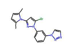 Cc1ccc(C)n1-c1cc(Br)n(-c2cccc(-n3ccnn3)c2)n1